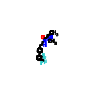 Cc1cc(C(=O)NCCCc2ccc(-c3cccc(C(F)(F)F)c3F)cc2)n(C)n1